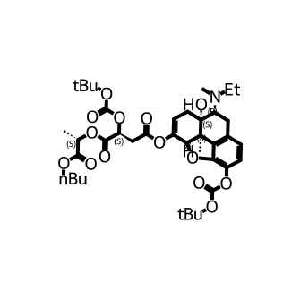 CCCCOC(=O)[C@H](C)OC(=O)[C@H](CC(=O)OC1=CC[C@@]2(O)[C@H](N(C)CC)Cc3ccc(OC(=O)OC(C)(C)C)c4c3[C@@]2(C)[C@H]1O4)OC(=O)OC(C)(C)C